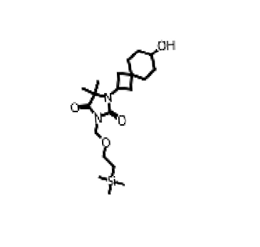 CC1(C)C(=O)N(COCC[Si](C)(C)C)C(=O)N1C1CC2(CCC(O)CC2)C1